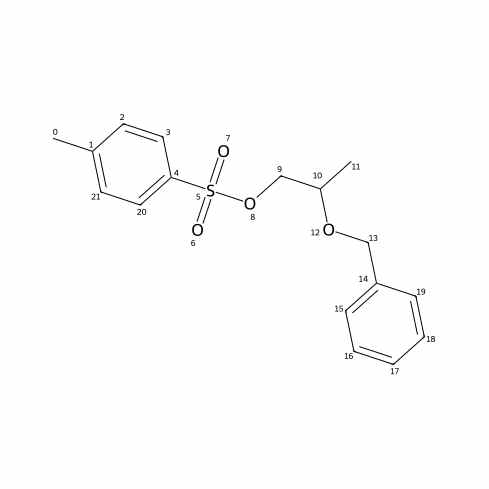 Cc1ccc(S(=O)(=O)OCC(C)OCc2ccccc2)cc1